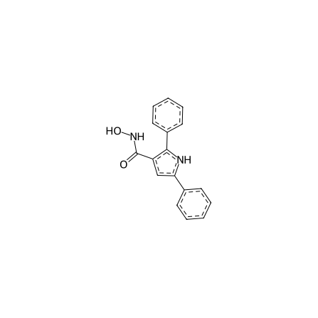 O=C(NO)c1cc(-c2ccccc2)[nH]c1-c1ccccc1